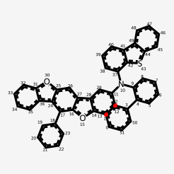 c1ccc(-c2ccccc2N(c2ccc3oc4c(-c5ccccc5)c5c(cc4c3c2)oc2ccccc25)c2cccc3c2sc2ccccc23)cc1